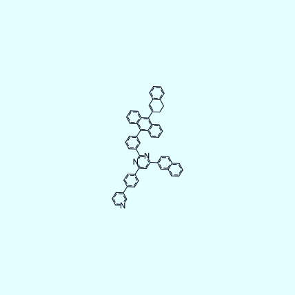 C1=C(c2c3ccccc3c(-c3cccc(-c4nc(-c5ccc(-c6cccnc6)cc5)cc(-c5ccc6ccccc6c5)n4)c3)c3ccccc23)CCc2ccccc21